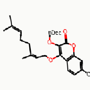 CCCCCCCCCCOc1c(OCC=C(C)CCC=C(C)C)c2ccc(OC)cc2oc1=O